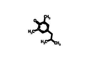 Cc1cc(CC(C)C)cn(C)c1=O